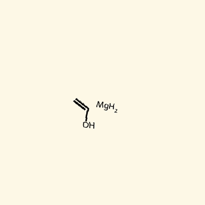 C=CO.[MgH2]